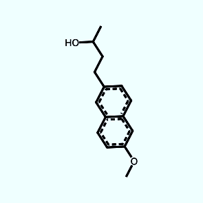 COc1ccc2cc(CCC(C)O)ccc2c1